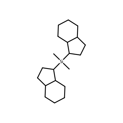 C[Si](C)(C1CCC2CCCCC21)C1CCC2CCCCC21